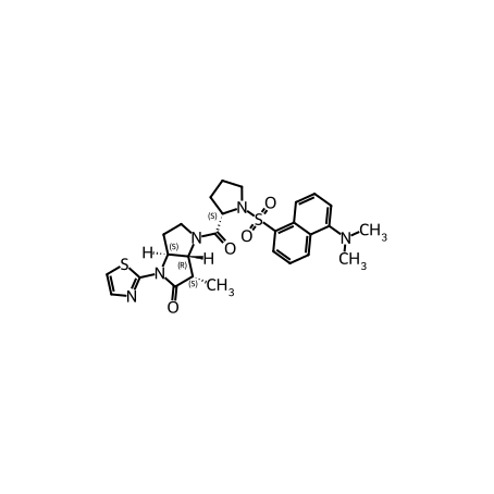 C[C@@H]1C(=O)N(c2nccs2)[C@H]2CCN(C(=O)[C@@H]3CCCN3S(=O)(=O)c3cccc4c(N(C)C)cccc34)[C@H]12